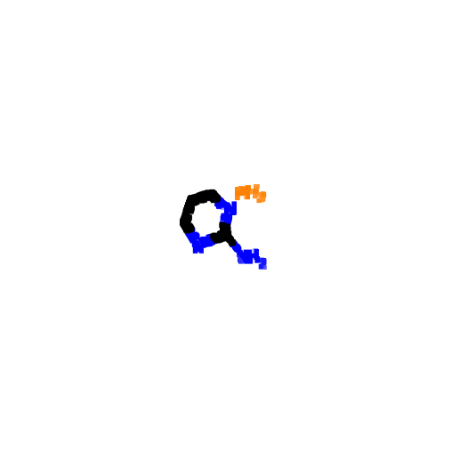 Nc1ncccn1.P